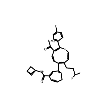 CNC(=O)c1ccc(C2=CCC=CC(C(=O)NC34CC(C3)C4)=C2)c(CCC(F)F)ccoc1-c1ccc(F)cc1